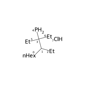 CCCCCCC(CC)C(P)(CC)CC.Cl